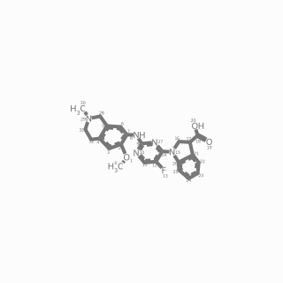 COc1cc2c(cc1Nc1ncc(F)c(N3CC(C(=O)O)c4ccccc43)n1)CN(C)CC2